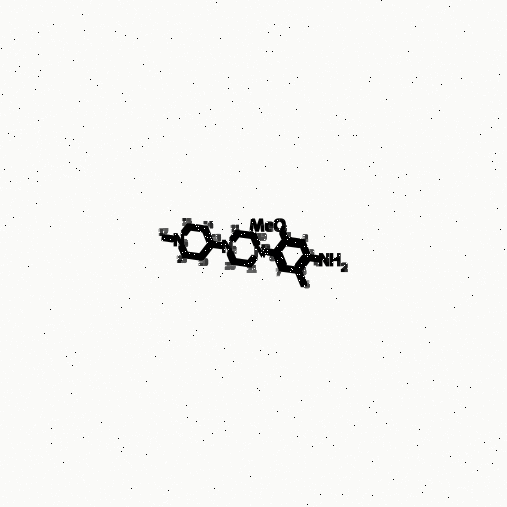 COc1cc(N)c(C)cc1N1CCN(C2CCN(C)CC2)CC1